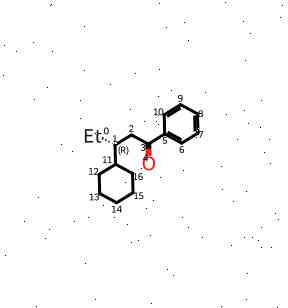 CC[C@H](CC(=O)c1ccccc1)C1CCCCC1